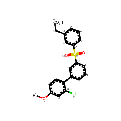 CCOc1ccc(-c2cccc(S(=O)(=O)c3cccc(CC(=O)O)c3)c2)c(Cl)c1